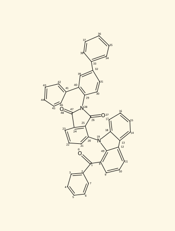 O=C(c1ccccc1)c1cccc2c3ccccc3n(-c3cccc4c3C(=O)N(c3ccc(-c5ccccc5)cc3-c3ccccc3)C4=O)c12